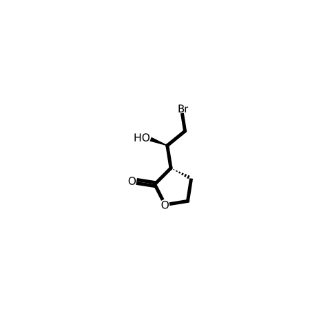 O=C1OCC[C@H]1[C@@H](O)CBr